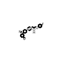 COc1cccc([C@]2(C#N)CC[C@@H](N3CCN(CC(O)COc4ccc(F)cc4)CC3)CC2)c1